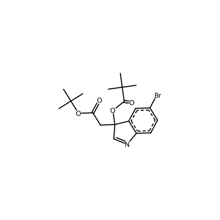 CC(C)(C)OC(=O)CC1(OC(=O)C(C)(C)C)C=Nc2ccc(Br)cc21